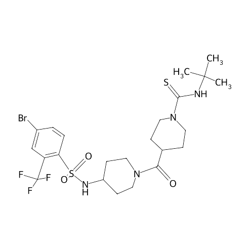 CC(C)(C)NC(=S)N1CCC(C(=O)N2CCC(NS(=O)(=O)c3ccc(Br)cc3C(F)(F)F)CC2)CC1